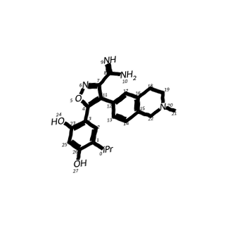 CC(C)c1cc(-c2onc(C(=N)N)c2-c2ccc3c(c2)CCN(C)C3)c(O)cc1O